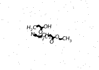 C=CC#N.C=CC(=O)O.C=CC(=O)OCC